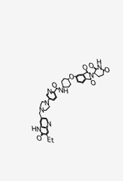 CCc1cc2ncc(CN3CCN(c4ccc(C(=O)N[C@H]5CC[C@H](Oc6ccc7c(c6)C(=O)N(C6CCC(=O)NC6=O)C7=O)CC5)nc4)CC3)cc2[nH]c1=O